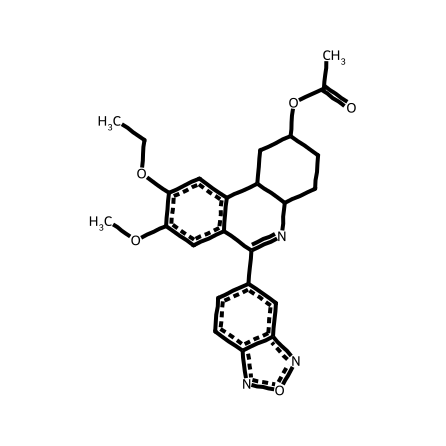 CCOc1cc2c(cc1OC)C(c1ccc3nonc3c1)=NC1CCC(OC(C)=O)CC21